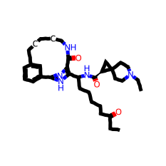 CCC(=O)CCCCCC(NC(=O)[C@H]1CC12CCN(CC)CC2)c1[nH]c2nc1C(=O)NCCCCCc1cccc-2c1